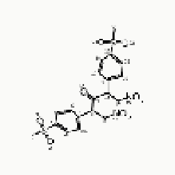 CS(=O)(=O)c1ccc(C(C[N+](=O)[O-])C(=O)C(C[N+](=O)[O-])c2ccc(S(C)(=O)=O)cc2)cc1